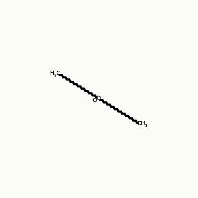 CCCCCCCCCCCCCCCCCCCCCCOC([O])CCCCCCCCCCCCCCCCCCCCC